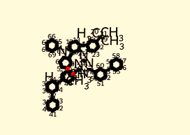 CC(C)(C)c1ccc2c(c1)c1c(ccc3c4cc(C(C)(C)C)ccc4n(-c4nc(-c5ccc(-c6cccc(-c7ccccc7)c6)cc5)nc(-c5cccc(-c6ccccc6)c5)n4)c31)n2-c1ccccc1